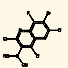 ON(O)c1c(Cl)nc2c(F)c(Br)c(Cl)cc2c1Cl